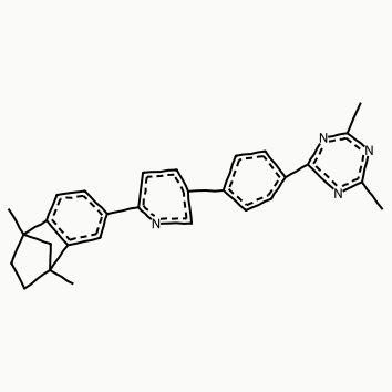 Cc1nc(C)nc(-c2ccc(-c3ccc(-c4ccc5c(c4)C4(C)CCC5(C)C4)nc3)cc2)n1